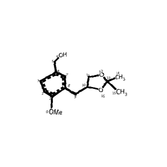 COc1ccc(CO)cc1CC1COC(C)(C)O1